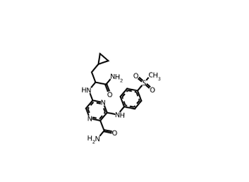 CS(=O)(=O)c1ccc(Nc2nc(NC(CC3CC3)C(N)=O)cnc2C(N)=O)cc1